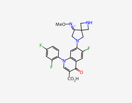 CO/N=C1\CN(c2cc3c(cc2F)c(=O)c(C(=O)O)cn3-c2ccc(F)cc2F)CC12CNC2